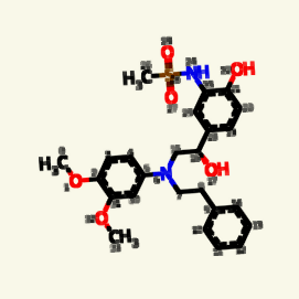 COc1ccc(N(CCc2ccccc2)C[C@H](O)c2ccc(O)c(NS(C)(=O)=O)c2)cc1OC